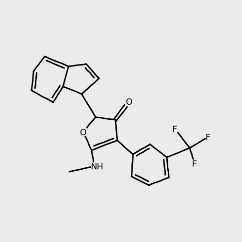 CNC1=C(c2cccc(C(F)(F)F)c2)C(=O)C(C2C=Cc3ccccc32)O1